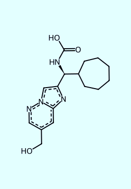 O=C(O)N[C@H](c1cn2ncc(CO)cc2n1)C1CCCCCC1